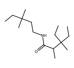 CCC(C)(C)CCNC(=O)C(C)C(C)(CC)CC